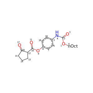 CCCCCCCCOC(=O)Nc1ccc(OC(=O)C2CCCC2=O)cc1